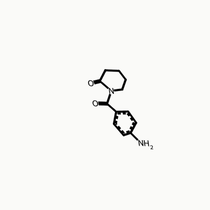 Nc1ccc(C(=O)N2CCCCC2=O)cc1